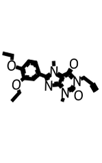 C#CCn1c(=O)c2c(nc(-c3ccc(OCC)c(OCC)c3)n2C)n(C)c1=O